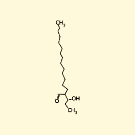 CCCCCCCCCCCCCCC([C]=O)C(O)CC